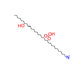 CCCCCCC(O)CC=CCCCCCCCC(CCCCCCCCCCCCCN(C)C)OC(=O)O